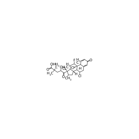 CC1C[C@H]2[C@@H]3C(Cl)CC4=CC(=O)C=C[C@]4(C)[C@@]3(Cl)C(F)C[C@]2(C)[C@@]1(Cl)C(=O)C(O)CC(C)(C)C(=O)O